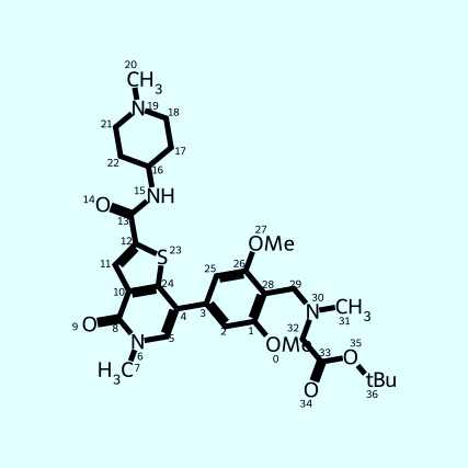 COc1cc(-c2cn(C)c(=O)c3cc(C(=O)NC4CCN(C)CC4)sc23)cc(OC)c1CN(C)CC(=O)OC(C)(C)C